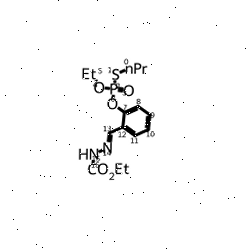 CCCSP(=O)(OCC)Oc1ccccc1C=NNC(=O)OCC